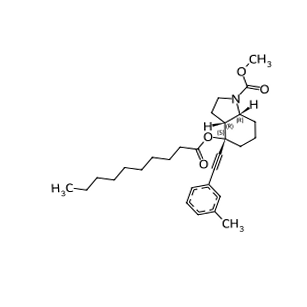 CCCCCCCCCC(=O)O[C@@]1(C#Cc2cccc(C)c2)CCC[C@@H]2[C@H]1CCN2C(=O)OC